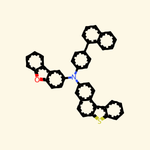 c1ccc2c(-c3ccc(N(c4ccc5c(ccc6sc7ccccc7c65)c4)c4ccc5oc6ccccc6c5c4)cc3)cccc2c1